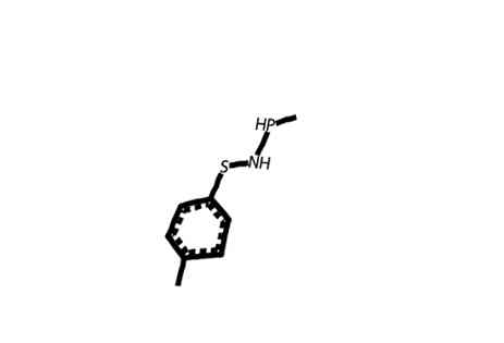 CPNSc1ccc(C)cc1